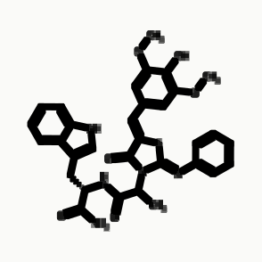 COc1cc(/C=C2\S/C(=N\c3ccccc3)N(C(C)C(=O)N[C@@H](Cc3c[nH]c4ccccc34)C(N)=O)C2=O)cc(OC)c1O